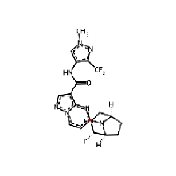 Cn1cc(NC(=O)c2cnn3ccc(N4[C@@H]5CC[C@H]4[C@H](I)NC5)nc23)c(C(F)(F)F)n1